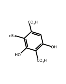 CCCCc1c(C(=O)O)cc(O)c(C(=O)O)c1O